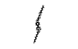 CCCCCCCCCOc1ncc(-c2ccc(OCCOCCOCCCCCC)cc2)cn1